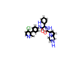 Cc1nccc(Cl)c1-c1ccc(NC(=O)C(NC(=O)c2ccc3n2CCNC3)C2CCCCC2)cc1